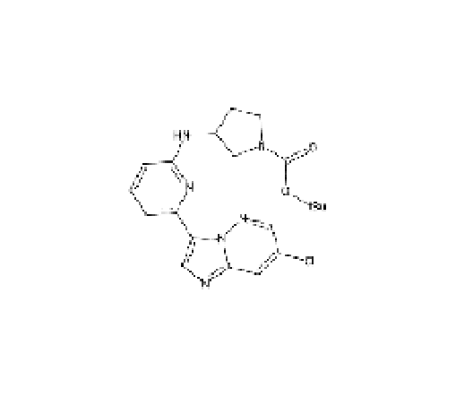 CC(C)(C)OC(=O)N1CCC(Nc2cccc(-c3cnc4cc(Cl)cnn34)n2)C1